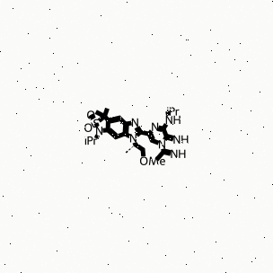 COC[C@H](C)n1c(-c2cn(C(C)=N)c(=N)c(NC(C)C)n2)nc2cc3c(cc21)N(C(C)C)S(=O)(=O)C3(C)C